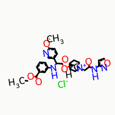 CCOC(=O)c1cccc(NC(C(=O)O[C@H]2C[N+]3(CC(=O)Nc4ccon4)CCC2CC3)c2ccc(OC)nc2)c1.[Cl-]